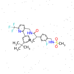 CC(C(=O)NCc1ccc(C(F)(F)F)nc1-c1cccc(C(C)(C)C)c1)c1ccc(CNS(C)(=O)=O)c(F)c1